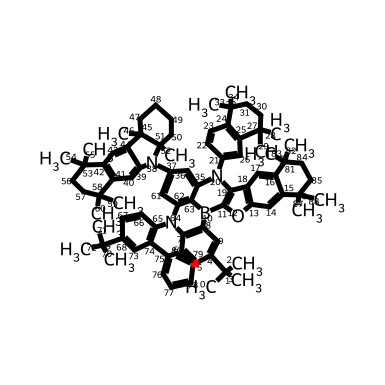 CC(C)(C)c1ccc2c(c1)B1c3oc4cc5c(cc4c3N(c3ccc4c(c3)C(C)(C)CCC4(C)C)c3cc(N4c6cc7c(cc6C6(C)CCCCC46C)C(C)(C)CCC7(C)C)cc(c31)N2c1ccc(C(C)(C)C)cc1-c1ccccc1)C(C)(C)CCC5(C)C